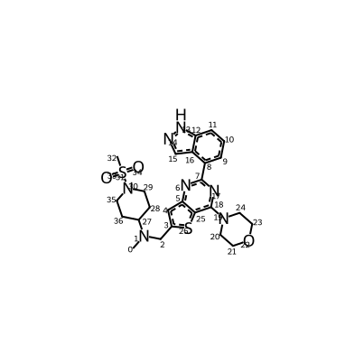 CN(Cc1cc2nc(-c3cccc4[nH]ncc34)nc(N3CCOCC3)c2s1)C1CCN(S(C)(=O)=O)CC1